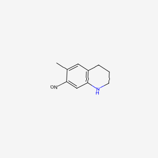 Cc1cc2c(cc1N=O)NCCC2